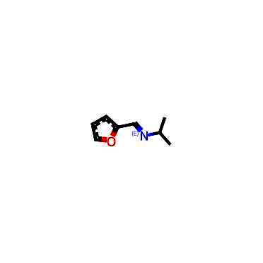 CC(C)/N=C/c1ccco1